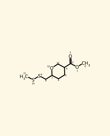 COC(=O)C1CCC(CSSC)OC1